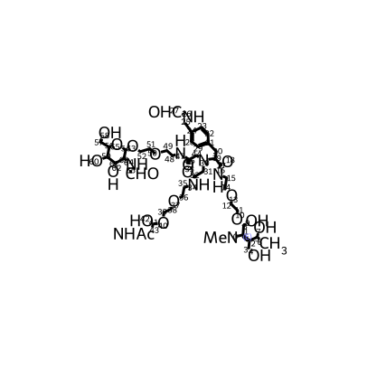 CN/C(=C(\CO)C(C)O)C(O)OCCOCCNC(=O)C(Cc1ccc(CNC=O)cc1)N(CC(=O)NCCOCCOC(O)NC(C)=O)CC(=O)NCCOCCOC1OC(CO)C(O)C(O)C1NC=O